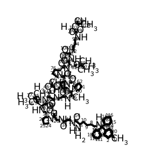 Cc1ccc(C(NCCCC[C@H](N)C(=O)NCC(=O)NCC(=O)N2CCC[C@H]2C(=O)N[C@@H](COC(C)(C)C)C(=O)N[C@@H](COC(C)(C)C)C(=O)NCC(=O)N[C@@H](C)C(=O)N2CCC[C@H]2C(=O)N2CCC[C@H]2C(=O)N2CCC[C@H]2C(=O)N[C@@H](COC(C)(C)C)C(=O)N[C@@H](CCCCNC(=O)OC(C)(C)C)C(=O)O)(c2ccccc2)c2ccccc2)cc1